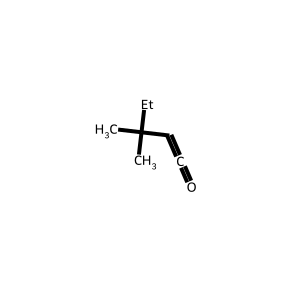 CCC(C)(C)C=C=O